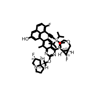 [2H]C([2H])(Oc1nc(N2CCOC[C@H]3[C@H](F)[C@H]32)c2cc(F)c(-c3cc(O)cc4ccc(F)c(C#C[Si](C(C)C)(C(C)C)C(C)C)c34)c(C)c2n1)[C@@]12CCCN1C[C@H](F)C2